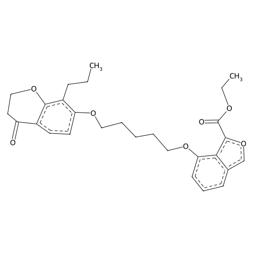 CCCc1c(OCCCCCOc2cccc3coc(C(=O)OCC)c23)ccc2c1OCCC2=O